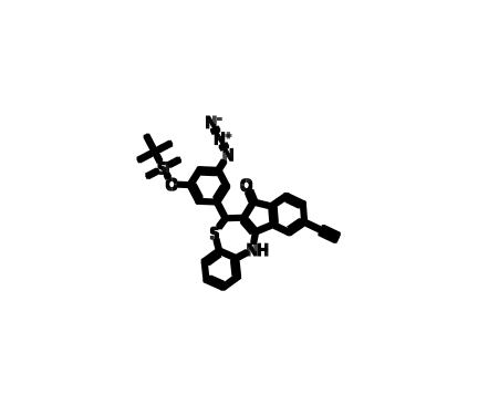 C#Cc1ccc2c(c1)C1=C(C2=O)C(c2cc(N=[N+]=[N-])cc(O[Si](C)(C)C(C)(C)C)c2)Sc2ccccc2N1